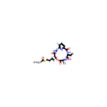 C/C=C1\NC(=O)c2ccc(F)c(n2)CNC(=O)C[C@@H](/C=C/CCSC(=O)CCCCCCC)OC(=O)[C@H](CC)NC1=O